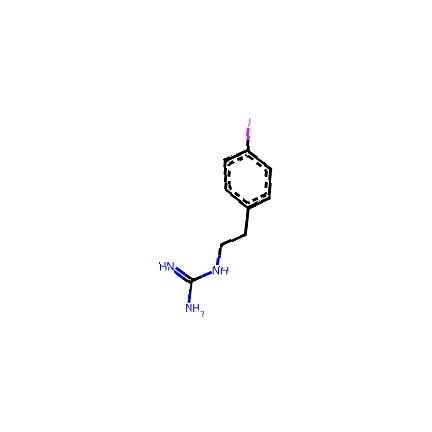 N=C(N)NCCc1ccc(I)cc1